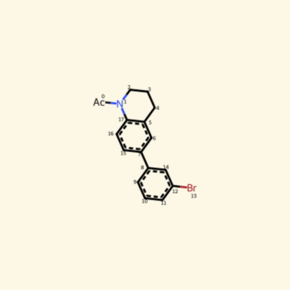 CC(=O)N1CCCc2cc(-c3cccc(Br)c3)ccc21